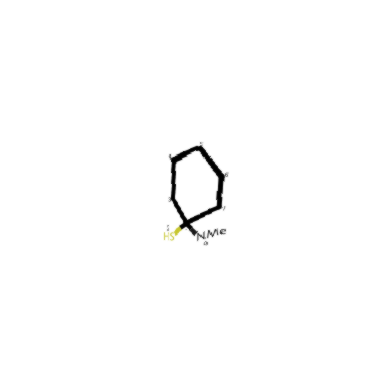 CNC1(S)CCCCC1